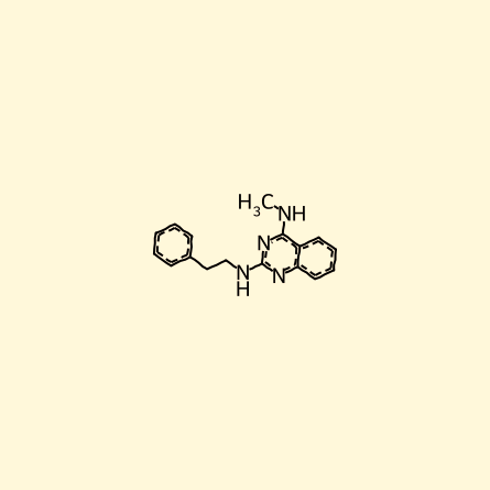 CNc1nc(NCCc2ccccc2)nc2ccccc12